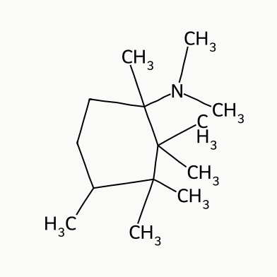 CC1CCC(C)(N(C)C)C(C)(C)C1(C)C